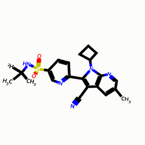 [2H]C(C)(C)NS(=O)(=O)c1ccc(-c2c(C#N)c3cc(C)cnc3n2C2CCC2)nc1